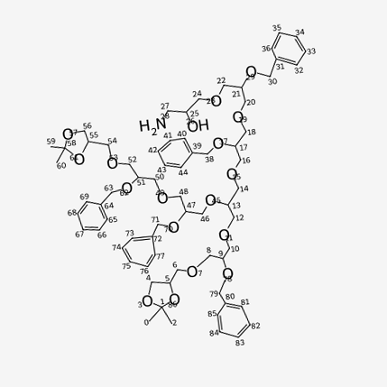 CC1(C)OCC(COCC(COCC(COCC(COCC(COCC(O)CN)OCc2ccccc2)OCc2ccccc2)OCC(COCC(COCC2COC(C)(C)O2)OCc2ccccc2)OCc2ccccc2)OCc2ccccc2)O1